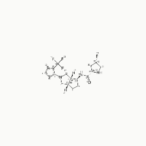 O=C(N[C@H]1CC[C@@H]2CN(c3ccsc3C(F)(F)F)C[C@@H]21)[C@@H]1C[C@H](F)CN1